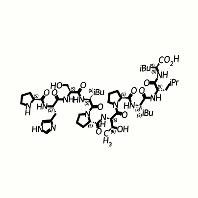 CC[C@H](C)[C@H](NC(=O)[C@H](CC(C)C)NC(=O)[C@@H](NC(=O)[C@@H]1CCCN1C(=O)[C@@H](NC(=O)[C@@H]1CCCN1C(=O)[C@@H](NC(=O)[C@H](CO)NC(=O)[C@H](Cc1c[nH]cn1)NC(=O)[C@@H]1CCCN1)[C@@H](C)CC)[C@@H](C)O)[C@@H](C)CC)C(=O)O